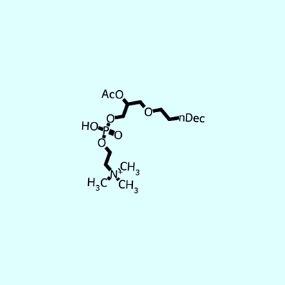 CCCCCCCCCCCCOCC(COP(=O)(O)OCC[N+](C)(C)C)OC(C)=O